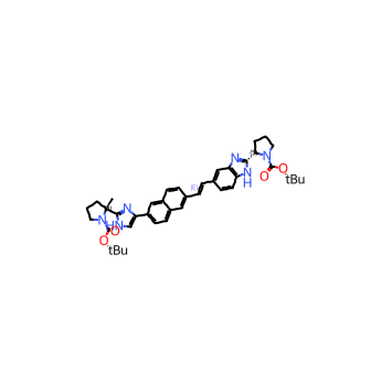 CC(C)(C)OC(=O)N1CCC[C@H]1c1nc2cc(/C=C/c3ccc4cc(-c5c[nH]c([C@@]6(C)CCCN6C(=O)OC(C)(C)C)n5)ccc4c3)ccc2[nH]1